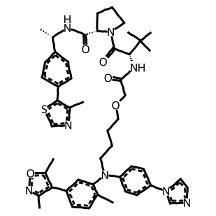 Cc1ccc(-c2c(C)noc2C)cc1N(CCCCOCC(=O)N[C@H](C(=O)N1CCC[C@H]1C(=O)N[C@@H](C)c1ccc(-c2scnc2C)cc1)C(C)(C)C)c1ccc(-n2ccnc2)cc1